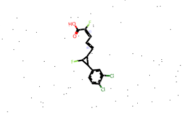 O=C(O)/C(F)=C\C=C\C1C(F)C1c1ccc(Cl)c(Cl)c1